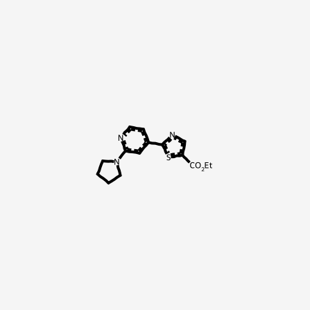 CCOC(=O)c1cnc(-c2ccnc(N3CCCC3)c2)s1